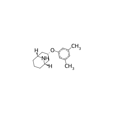 Cc1cc(C)cc(O[C@H]2C[C@H]3CCC[C@@H](C2)N3)c1